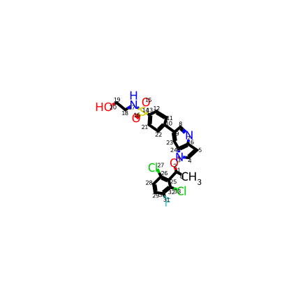 CC(On1ccc2ncc(-c3ccc(S(=O)(=O)NCCO)cc3)cc21)c1c(Cl)ccc(F)c1Cl